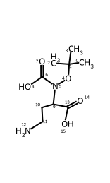 CC(C)(C)ON(C(=O)O)C(CCN)C(=O)O